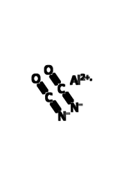 [Al+2].[N-]=C=O.[N-]=C=O